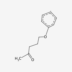 CC(=O)CCCOc1cc[c]cc1